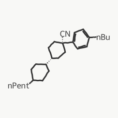 CCCCCC1CCC([C@H]2CC[C@](C#N)(c3ccc(CCCC)cc3)CC2)CC1